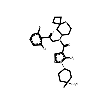 C[C@]1(C(=O)O)CC[C@H](n2ncc(C(=O)N(CC(=O)c3c(Cl)cccc3Cl)[C@@H]3CCOC4(CCC4)C3)c2C(F)(F)F)CC1